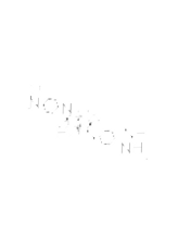 N=C(N)c1ccc(NC(=O)[C@H](O)[C@H]2OCCN(c3ccc(N4CCCC4=O)cc3)C2=O)cc1